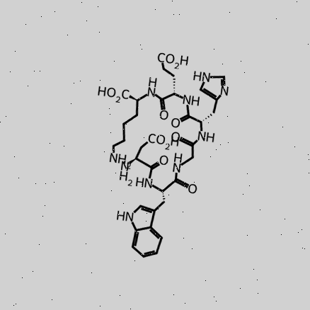 NCCCC[C@H](NC(=O)[C@H](CCC(=O)O)NC(=O)[C@H](Cc1c[nH]cn1)NC(=O)CNC(=O)[C@H](Cc1c[nH]c2ccccc12)NC(=O)[C@@H](N)CC(=O)O)C(=O)O